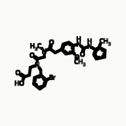 COc1cc(CC(=O)N(C)CC(=O)N(CCC(=O)O)Cc2ccccc2Br)ccc1NC(=O)Nc1ccccc1C